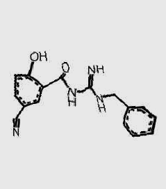 N#Cc1ccc(O)c(C(=O)NC(=N)NCc2ccccc2)c1